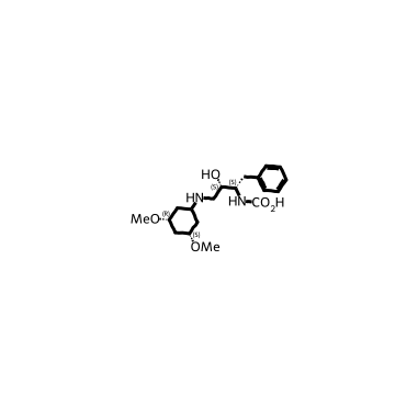 CO[C@@H]1CC(NC[C@H](O)[C@H](Cc2ccccc2)NC(=O)O)C[C@H](OC)C1